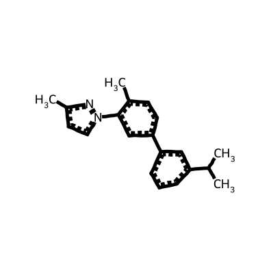 Cc1ccn(-c2cc(-c3cccc(C(C)C)c3)ccc2C)n1